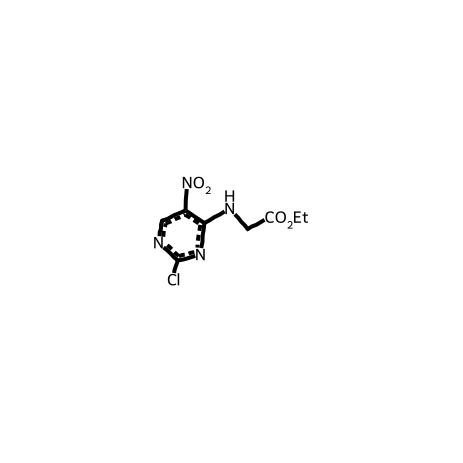 CCOC(=O)CNc1nc(Cl)ncc1[N+](=O)[O-]